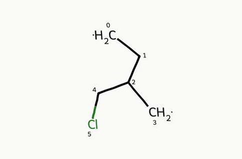 [CH2]CC([CH2])CCl